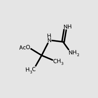 CC(=O)OC(C)(C)NC(=N)N